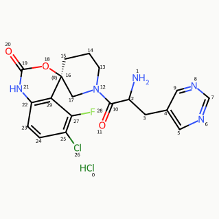 Cl.NC(Cc1cncnc1)C(=O)N1CCC[C@@]2(C1)OC(=O)Nc1ccc(Cl)c(F)c12